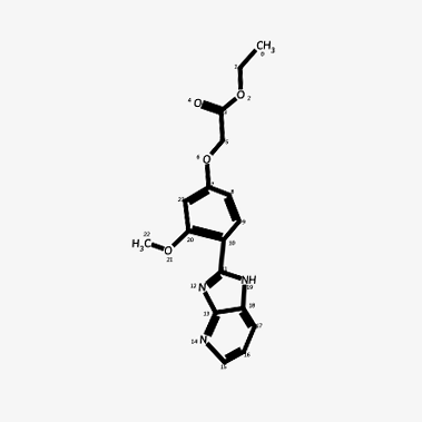 CCOC(=O)COc1ccc(-c2nc3ncccc3[nH]2)c(OC)c1